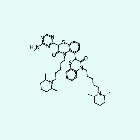 C[C@@H]1CCC[C@H](C)N1CCCCCN1C(=O)C(c2cccc3c2N(CCCCCN2[C@H](C)CCC[C@@H]2C)C(=O)C(c2ncnc(N)n2)S3)Sc2ccccc21